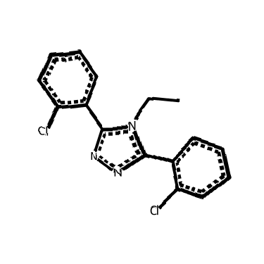 CCn1c(-c2ccccc2Cl)nnc1-c1ccccc1Cl